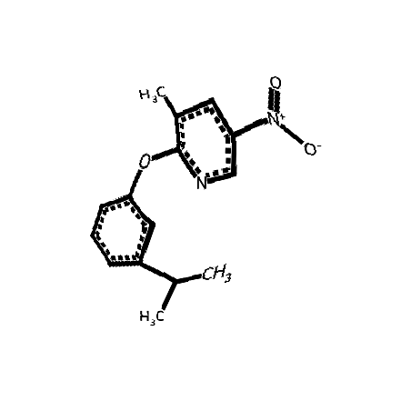 Cc1cc([N+](=O)[O-])cnc1Oc1cccc(C(C)C)c1